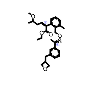 CCOC(=O)/C(=C\CC(C)OC)c1cccc(C)c1CO/N=C(\C)c1cccc(CC2COC2)c1